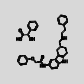 O=C(COc1ccccc1)Nc1ccc2[nH]c3c(c2c1)CC(CNCCc1ccccc1)CC3.O=C(O)C(O)c1ccccc1